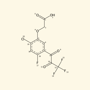 O=C(O)COc1cc(C(=O)C(=O)C(F)(F)F)c(F)cc1Cl